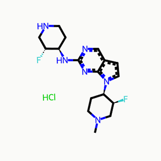 CN1CC[C@@H](n2ccc3cnc(N[C@@H]4CCNC[C@H]4F)nc32)[C@@H](F)C1.Cl